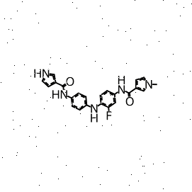 Cn1ccc(C(=O)Nc2ccc(Nc3ccc(NC(=O)c4cc[nH]c4)cc3)c(F)c2)c1